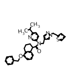 CC(C)c1ccc(N(Cc2cnn(Cc3cccs3)c2)C(=O)C2CCCc3c(OCc4ccccc4)cccc32)cn1